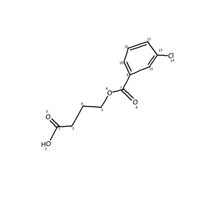 O=C(O)CCCOC(=O)c1cccc(Cl)c1